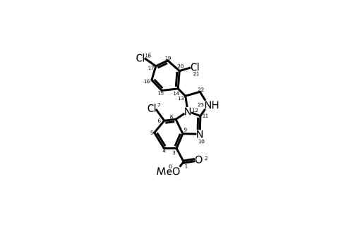 COC(=O)c1ccc(Cl)c2c1nc1n2C(c2ccc(Cl)cc2Cl)CN1